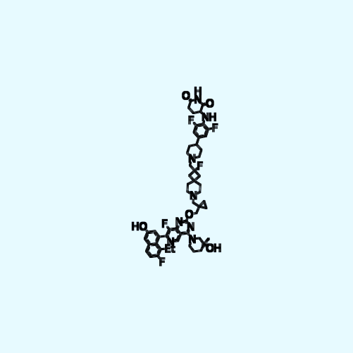 CCc1c(F)ccc2cc(O)cc(-c3ncc4c(N5CCC[C@@](C)(O)C5)nc(OCC5(CN6CCC7(CC6)CC(F)(CN6CCC(c8cc(F)c(NC9CCC(=O)NC9=O)c(F)c8)CC6)C7)CC5)nc4c3F)c12